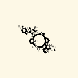 CCn1c(-c2cccnc2[C@H](C)OC)c2c3cc(ccc31)-c1csc(n1)C[C@H](NC(=O)[C@H](C(C)C)N(C)C(=O)N1CC3CCN(C)CC31)C(=O)N1CCC[C@H](N1)C(=O)OCC(C)(C)C2